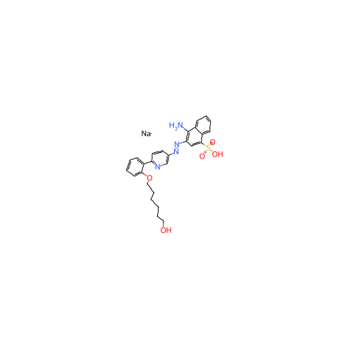 Nc1c(N=Nc2ccc(-c3ccccc3OCCCCCCO)nc2)cc(S(=O)(=O)O)c2ccccc12.[Na]